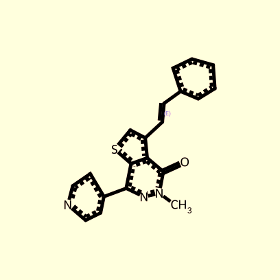 Cn1nc(-c2ccncc2)c2scc(/C=C/c3ccccc3)c2c1=O